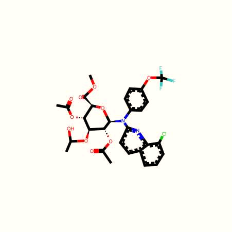 COC(=O)[C@H]1O[C@@H](N(c2ccc(OC(F)(F)F)cc2)c2ccc3cccc(Cl)c3n2)[C@H](OC(C)=O)[C@@H](OC(C)O)[C@@H]1OC(C)=O